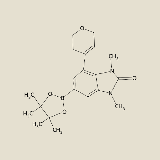 Cn1c(=O)n(C)c2c(C3=CCOCC3)cc(B3OC(C)(C)C(C)(C)O3)cc21